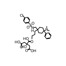 CCCCC1(CNS(=O)(=O)c2ccc(Cl)cc2)CCC(c2ccccc2)(N(C)C)CC1.O=C(O)CC(O)(CC(=O)O)C(=O)O